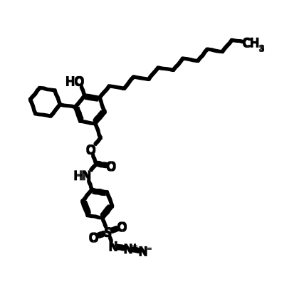 CCCCCCCCCCCCc1cc(COC(=O)Nc2ccc(S(=O)(=O)N=[N+]=[N-])cc2)cc(C2CCCCC2)c1O